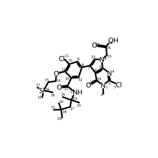 Cn1c(Cl)nc2c(c(-c3cc(Cl)c(OCC[Si](C)(C)C)c(C(=O)NC(C)(C)CC(C)(C)C)c3)cn2CC(=O)O)c1=O